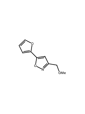 COCc1cc(-c2ccco2)on1